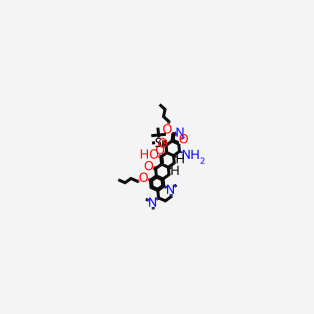 CCCCOc1cc2c(c3c1C(=O)C1=C(O)[C@]4(O[Si](C)(C)C(C)(C)C)C(=O)c5c(OCCCC)noc5[C@@H](N)[C@@H]4C[C@@H]1C3)N(C)CCC2N(C)C